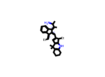 CC/C=C1C(=C\C2=CC3=C(NC4=C(CCCC4)C3(C)C)C2CC)/C(=C(\C)C(C)N)c2ccccc2/1